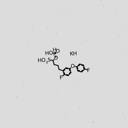 O=[PH](O)OC(CCCc1cc(Oc2ccc(F)cc2)ccc1F)S(=O)(=O)O.[KH]